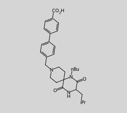 CCCCN1C(=O)C(CC(C)C)NC(=O)C12CCN(Cc1ccc(-c3ccc(C(=O)O)cc3)cc1)CC2